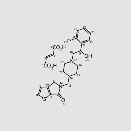 O=C(O)C=CC(=O)O.O=C1c2sccc2CN1CC1CCN(CC(O)c2ccccc2F)CC1